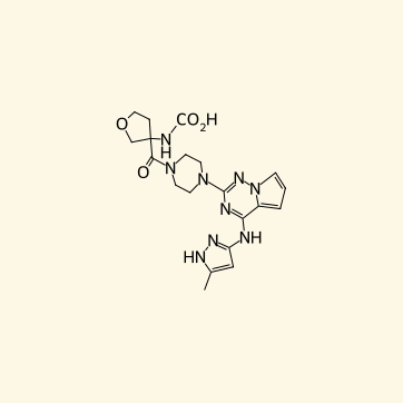 Cc1cc(Nc2nc(N3CCN(C(=O)C4(NC(=O)O)CCOC4)CC3)nn3cccc23)n[nH]1